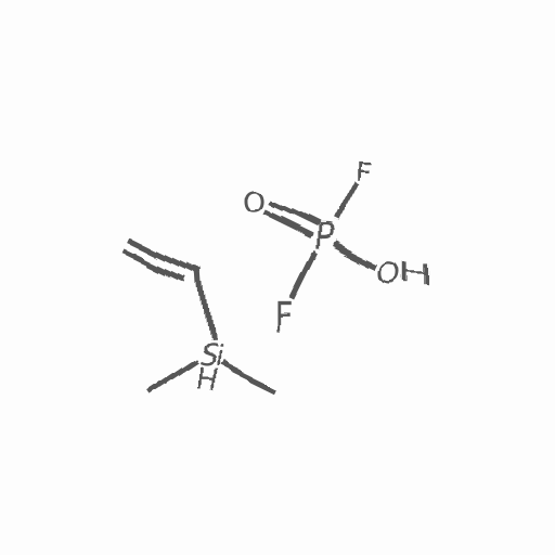 C=C[SiH](C)C.O=P(O)(F)F